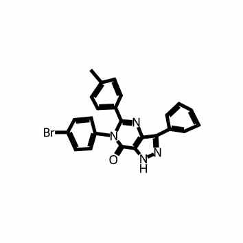 Cc1ccc(-c2nc3c(-c4ccccc4)n[nH]c3c(=O)n2-c2ccc(Br)cc2)cc1